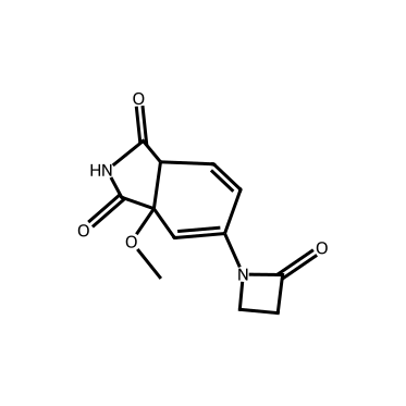 COC12C=C(N3CCC3=O)C=CC1C(=O)NC2=O